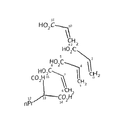 C=CC(=O)O.C=CC(=O)O.C=CC(=O)O.C=CC(=O)O.CCCC(C(=O)O)C(=O)O